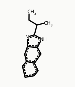 CCC(C)c1nc2cc3ccccc3cc2[nH]1